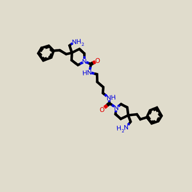 NCC1(CCc2ccccc2)CCN(C(=O)NCCCCNC(=O)N2CCC(CN)(CCc3ccccc3)CC2)CC1